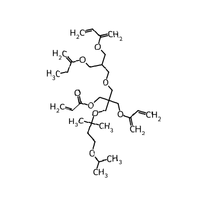 C=CC(=C)OCC(COCC(COC(=C)C=C)(COC(=O)C=C)COC(C)(C)CCOC(C)C)COC(=C)CC